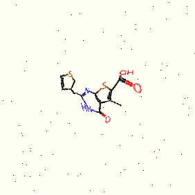 Cc1c(C(=O)O)sc2nc(CC3C=CSC3)[nH]c(=O)c12